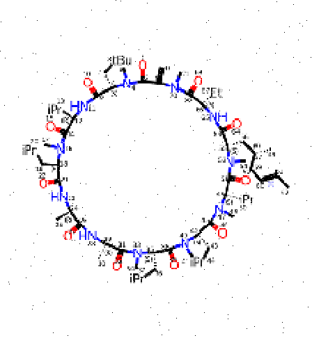 C=C1C(=O)N(C)[C@@H](CC(C)(C)C)C(=O)N[C@H](C(C)C)C(=O)N(C)[C@H](CC(C)C)C(=O)N[C@H](C)C(=O)N[C@@H](C)C(=O)N(C)[C@@H](CC(C)C)C(=O)N(C)[C@@H](CC(C)C)C(=O)N(C)[C@@H](C(C)C)C(=O)N(C)[C@@H](C[C@H](C)C/C=C/C)C(=O)N[C@@H](CC)C(=O)N1C